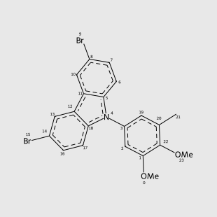 COc1cc(-n2c3ccc(Br)cc3c3cc(Br)ccc32)cc(C)c1OC